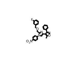 Cc1onc(-c2ccccc2)c1-c1cn(-c2ccc([N+](=O)[O-])cc2)c(COCc2cccc(F)c2)n1